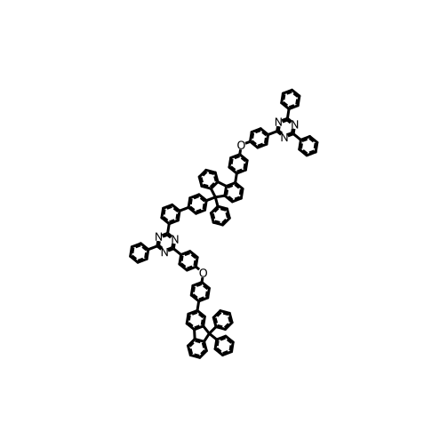 c1ccc(-c2nc(-c3ccccc3)nc(-c3ccc(Oc4ccc(-c5cccc6c5-c5ccccc5C6(c5ccccc5)c5ccc(-c6cccc(-c7nc(-c8ccccc8)nc(-c8ccc(Oc9ccc(-c%10ccc%11c(c%10)C(c%10ccccc%10)(c%10ccccc%10)c%10ccccc%10-%11)cc9)cc8)n7)c6)cc5)cc4)cc3)n2)cc1